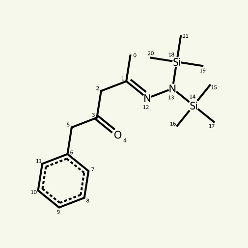 CC(CC(=O)Cc1ccccc1)=NN([Si](C)(C)C)[Si](C)(C)C